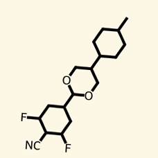 CC1CCC(C2COC(C3CC(F)C(C#N)C(F)C3)OC2)CC1